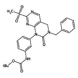 CC(C)(C)OC(=O)Nc1cccc(N2C(=O)N(Cc3ccccc3)Cc3cnc(S(C)(=O)=O)nc32)c1